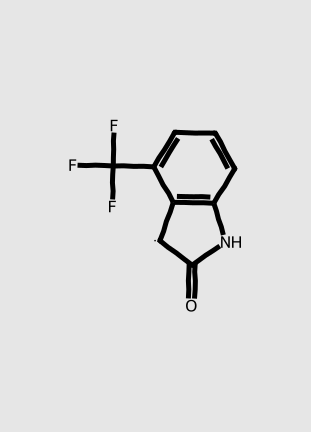 O=C1[CH]c2c(cccc2C(F)(F)F)N1